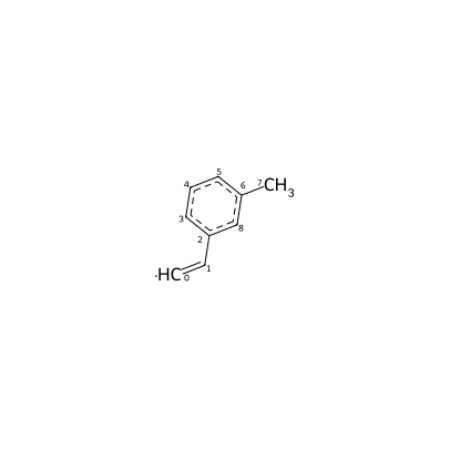 [CH]=Cc1cccc(C)c1